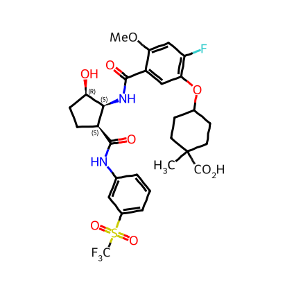 COc1cc(F)c(OC2CCC(C)(C(=O)O)CC2)cc1C(=O)N[C@@H]1[C@H](O)CC[C@@H]1C(=O)Nc1cccc(S(=O)(=O)C(F)(F)F)c1